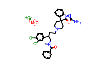 CN(CC(CCN1CCC(c2ccccc2)(c2nnc(N)o2)CC1)c1ccc(Cl)c(Cl)c1)C(=O)c1ccccc1.Cl.Cl.O.O